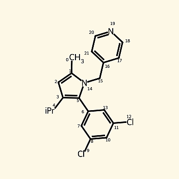 Cc1cc(C(C)C)c(-c2cc(Cl)cc(Cl)c2)n1Cc1ccncc1